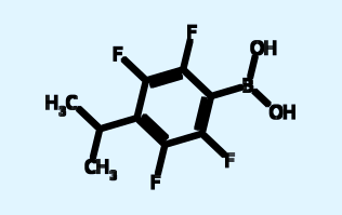 CC(C)c1c(F)c(F)c(B(O)O)c(F)c1F